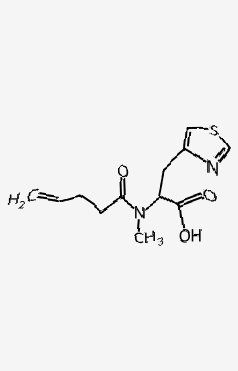 C=CCCC(=O)N(C)C(Cc1cscn1)C(=O)O